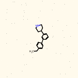 CCc1ccc(-c2cccc(C3CCNCC3)c2)cc1